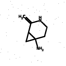 C=C1NCCC2(N)CC12